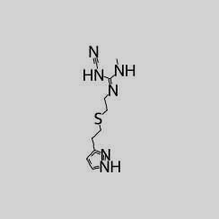 CN/C(=N/CCSCCc1cc[nH]n1)NC#N